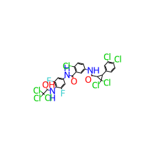 O=C(Nc1cc(F)c(NC(O)C(Cl)(Cl)Cl)c(F)c1)c1cc(NC(=O)C2C(c3ccc(Cl)c(Cl)c3)C2(Cl)Cl)ccc1Cl